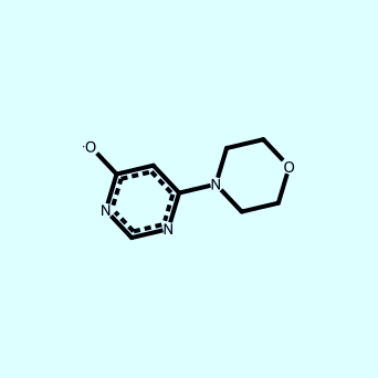 [O]c1cc(N2CCOCC2)ncn1